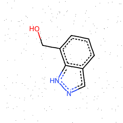 OCc1cccc2cn[nH]c12